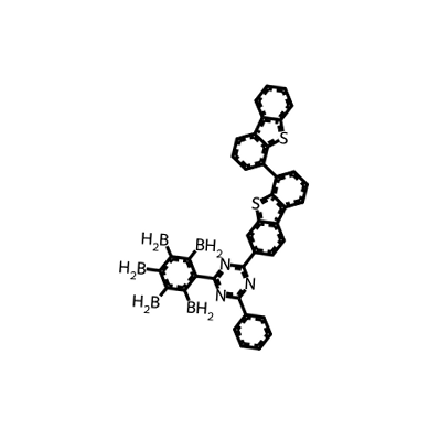 Bc1c(B)c(B)c(-c2nc(-c3ccccc3)nc(-c3ccc4c(c3)sc3c(-c5cccc6c5sc5ccccc56)cccc34)n2)c(B)c1B